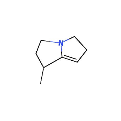 CC1CCN2CCC=C12